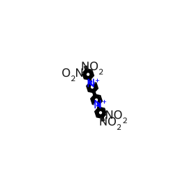 O=[N+]([O-])c1ccc(-[n+]2ccc(-c3cc[n+](-c4ccc([N+](=O)[O-])c([N+](=O)[O-])c4)cc3)cc2)cc1[N+](=O)[O-]